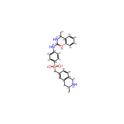 CC1Cc2cc(CS(=O)(=O)c3ccc(NC(=O)NC(C)c4ccccc4)cc3)ccc2CN1